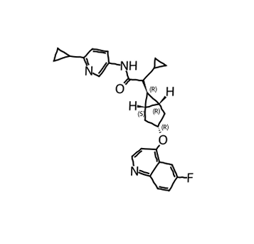 O=C(Nc1ccc(C2CC2)nc1)C(C1CC1)[C@H]1[C@@H]2C[C@H](Oc3ccnc4ccc(F)cc34)C[C@@H]21